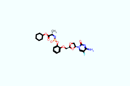 C[C@H](N=[P+]([O-])Oc1ccccc1OC[C@H]1OC[C@@H](n2cc(F)c(N)nc2=O)O1)C(=O)OC1CCCCC1